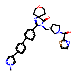 Cn1cc(-c2ccc(-c3ccc(C4=NC5(CCOCC5)C(=O)N4C[C@@H]4CCN(C(=O)c5nccs5)C4)cc3)cc2)cn1